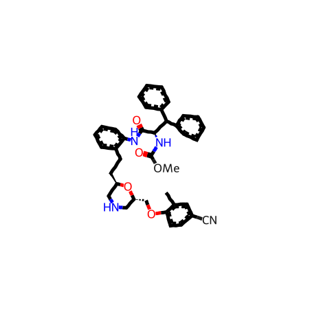 COC(=O)N[C@H](C(=O)Nc1ccccc1CC[C@@H]1CNC[C@@H](COc2ccc(C#N)cc2C)O1)C(c1ccccc1)c1ccccc1